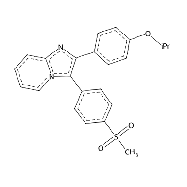 CC(C)Oc1ccc(-c2nc3ccccn3c2-c2ccc(S(C)(=O)=O)cc2)cc1